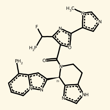 Cn1cncc1-c1nc(C(F)P)c(C(=O)N2CCc3[nH]cnc3[C@H]2c2cc3c(P)cccn3n2)o1